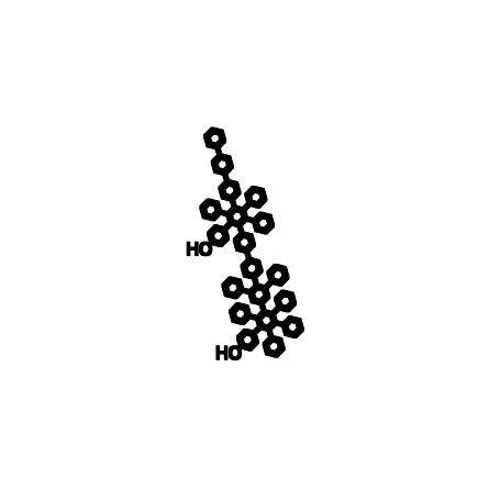 Oc1ccc(-c2c(-c3ccccc3)c(-c3ccc(-c4ccc(-c5ccccc5)cc4)cc3)c(-c3ccccc3)c(-c3ccccc3)c2-c2ccc(-c3ccc(-c4c(-c5ccccc5)cc(-c5c(-c6ccccc6)c(-c6ccccc6)c(-c6ccccc6)c(-c6ccc(O)cc6)c5-c5ccccc5)cc4-c4ccccc4)cc3)cc2)cc1